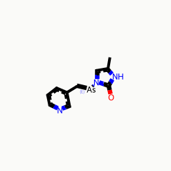 Cc1cn(/[As]=C/c2cccnc2)c(=O)[nH]1